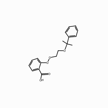 CC(C)(OCCOOc1ccccc1C(=O)O)c1ccccc1